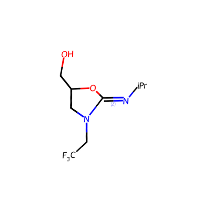 CC(C)/N=C1\OC(CO)CN1CC(F)(F)F